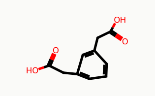 O=C(O)Cc1cccc(CC(=O)O)c1